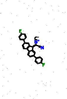 [C-]#[N+]C(C#N)=C1c2cc(-c3ccc(F)cc3)ccc2-c2ccc(-c3ccc(F)cc3)cc21